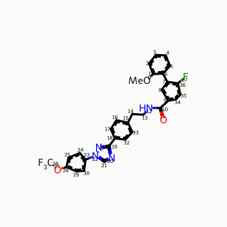 COc1ccccc1-c1cc(C(=O)NCCc2ccc(-c3ncn(-c4ccc(OC(F)(F)F)cc4)n3)cc2)ccc1F